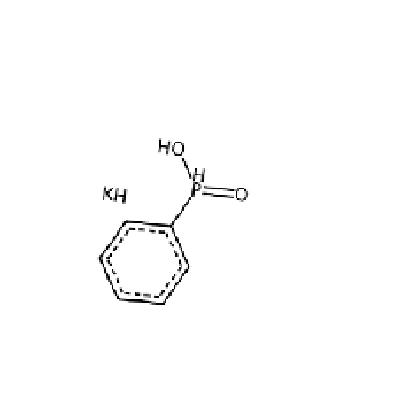 O=[PH](O)c1ccccc1.[KH]